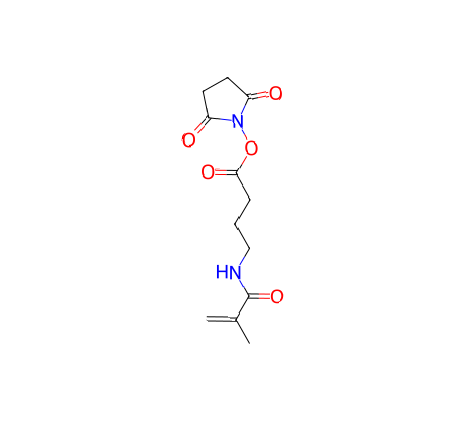 C=C(C)C(=O)NCCCC(=O)ON1C(=O)CCC1=O